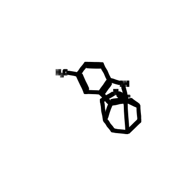 Cc1ccc2[nH]c3c(c2c1)C1CC2CC3CN(C2)C1